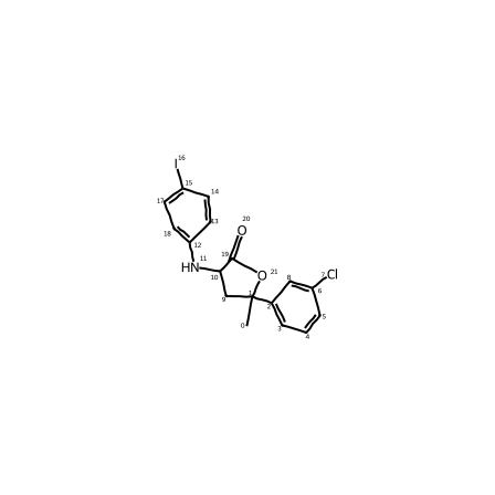 CC1(c2cccc(Cl)c2)CC(Nc2ccc(I)cc2)C(=O)O1